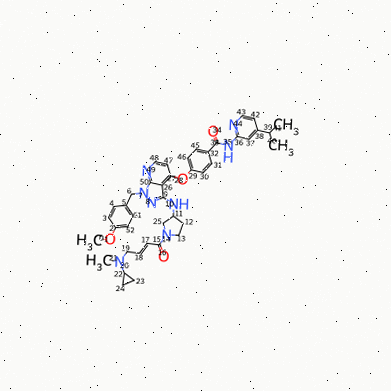 COc1ccc(Cn2nc(NC3CCN(C(=O)C=CCN(C)C4CC4)C3)c3c(Oc4ccc(C(=O)Nc5cc(C(C)C)ccn5)cc4)ccnc32)cc1